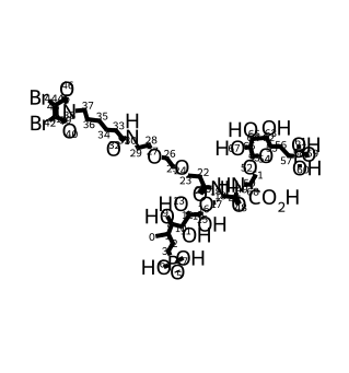 CC(CCP(=O)(O)O)C(O)C(O)C(O)C(O)OC[C@H](NC(=O)CCOCCOCCNC(=O)CCCCCN1C(=O)C(Br)=C(Br)C1=O)C(=O)N[C@@H](COC1OC(CCP(=O)(O)O)C(O)C(O)C1O)C(=O)O